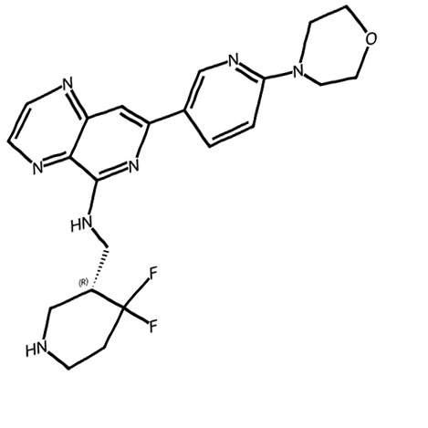 FC1(F)CCNC[C@@H]1CNc1nc(-c2ccc(N3CCOCC3)nc2)cc2nccnc12